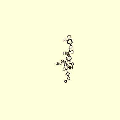 CC(C)(C)OC(=O)N1C[Si@@H](NC(=O)COc2ccc(Cl)c(F)c2)CC[C@@H]1C(=O)NNC(=O)C1CC(OC2CC2)C1